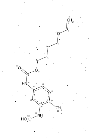 C=COCCCCOC(=O)Nc1ccc(C)c(NC(=O)O)c1